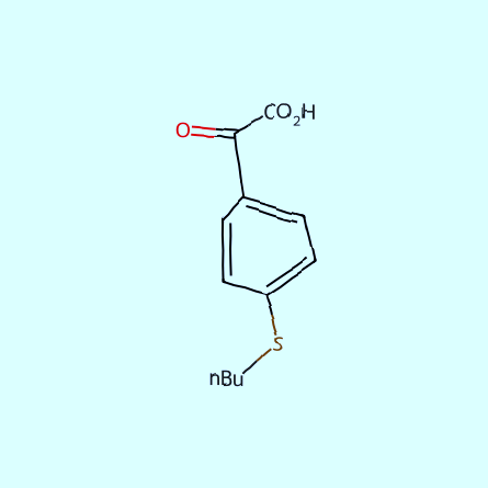 CCCCSc1ccc(C(=O)C(=O)O)cc1